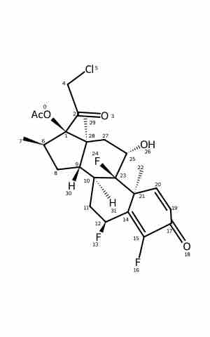 CC(=O)O[C@]1(C(=O)CCl)[C@H](C)C[C@H]2[C@@H]3C[C@H](F)C4=C(F)C(=O)C=C[C@]4(C)[C@@]3(F)[C@@H](O)C[C@@]21C